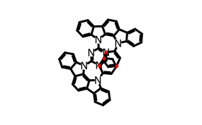 C1=CC(n2c3ccccc3c3ccc4c5ccccc5n(-c5ncnc(-n6c7ccccc7c7ccc8c9ccccc9n(-c9ccccc9)c8c76)n5)c4c32)=CCC1